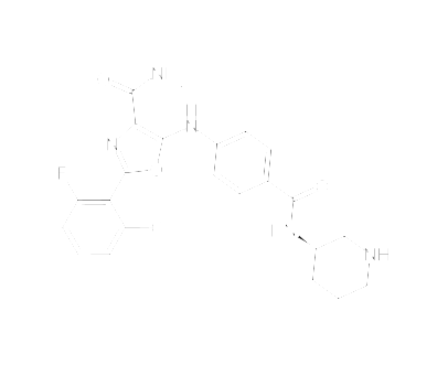 NC(=O)c1nc(-c2c(F)cccc2Cl)oc1Nc1ccc(C(=O)N[C@@H]2CCCNC2)cc1